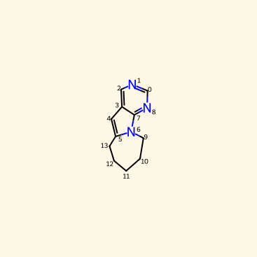 c1ncc2cc3n(c2n1)CCCCC3